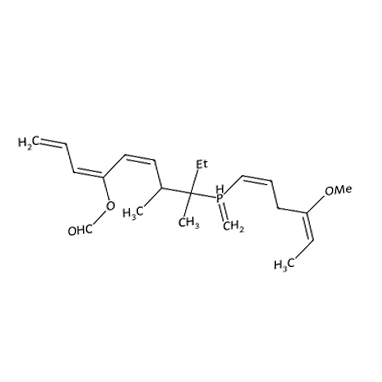 C=C/C=C(\C=C/C(C)C(C)(CC)[PH](=C)/C=C\C/C(=C\C)OC)OC=O